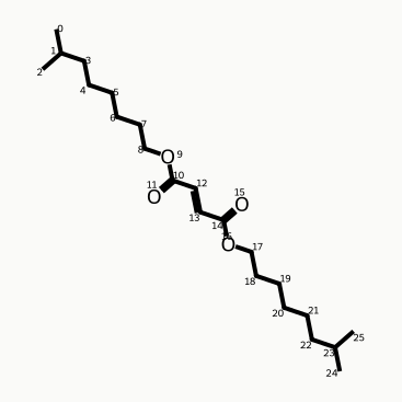 CC(C)CCCCCCOC(=O)/C=C/C(=O)OCCCCCCC(C)C